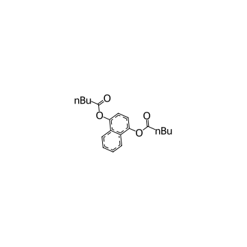 CCCCC(=O)Oc1ccc(OC(=O)CCCC)c2ccccc12